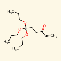 C=CC(=O)CC[Si](OCCC)(OCCC)OCCC